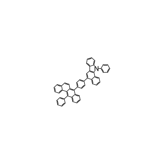 c1ccc(-c2c3ccccc3c(-c3ccc(-c4cc5c6ccccc6n(-c6ccccc6)c5c5ccccc45)cc3)c3ccc4ccccc4c23)cc1